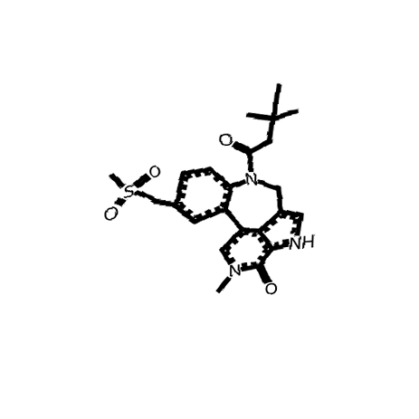 Cn1cc2c3c(c[nH]c3c1=O)CN(C(=O)CC(C)(C)C)c1ccc(CS(C)(=O)=O)cc1-2